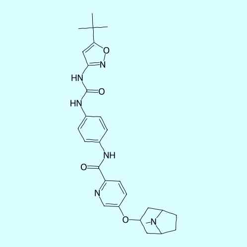 CN1C2CCC1CC(Oc1ccc(C(=O)Nc3ccc(NC(=O)Nc4cc(C(C)(C)C)on4)cc3)nc1)C2